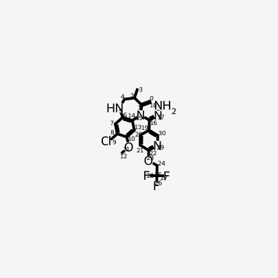 C=C1C(C)CNc2cc(Cl)c(OC)cc2N1/C(=N\N)c1ccc(OCC(F)(F)F)nc1